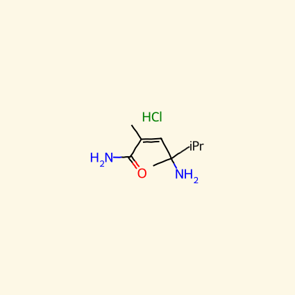 CC(=CC(C)(N)C(C)C)C(N)=O.Cl